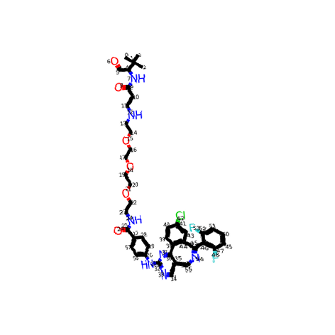 CC(C)(C)C(C=O)NC(=O)CCNCCOCCOCCOCCNC(=O)c1ccc(Nc2ncc3c(n2)-c2ccc(Cl)cc2C(c2c(F)cccc2F)=NC3)cc1